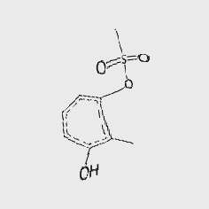 Cc1c(O)cccc1OS(C)(=O)=O